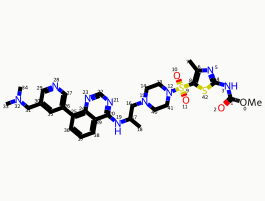 COC(=O)Nc1nc(C)c(S(=O)(=O)N2CCN(CC(C)Nc3ncnc4c(-c5cncc(CN(C)C)c5)cccc34)CC2)s1